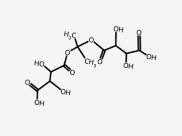 CC(C)(OC(=O)C(O)C(O)C(=O)O)OC(=O)C(O)C(O)C(=O)O